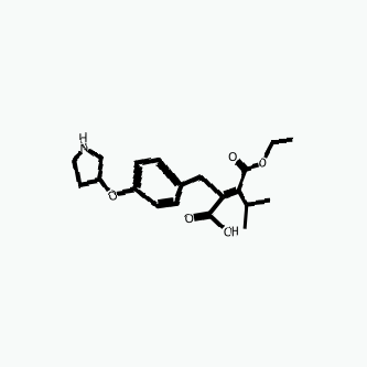 CCOC(=O)C(=C(Cc1ccc(OC2CCNC2)cc1)C(=O)O)C(C)C